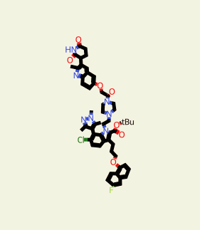 Cc1nc2ccc(OCC(=O)N3CCN(CCn4c(C(=O)OC(C)(C)C)c(CCCOc5cccc6cc(F)ccc56)c5ccc(Cl)c(-c6c(C)nn(C)c6C)c54)CC3)cc2cc1C1CCC(=O)NC1=O